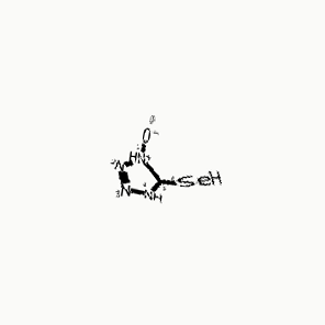 [O-][NH+]1N=NNC1[SeH]